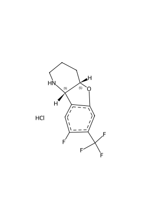 Cl.Fc1cc2c(cc1C(F)(F)F)O[C@H]1CCCN[C@@H]21